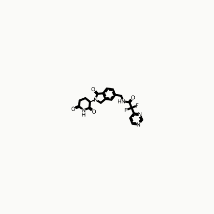 O=C1CC[C@@H](N2Cc3cc(CNC(=O)C(F)(F)c4ccncn4)ccc3C2=O)C(=O)N1